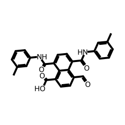 Cc1cccc(NC(=O)c2ccc(C(=O)Nc3cccc(C)c3)c3c(C(=O)O)ccc(C=O)c23)c1